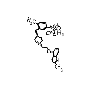 Cc1ccc2c(OCCN3CCC(=Cc4cc(NS(C)(=O)=O)ccc4C)CC3)cccc2n1